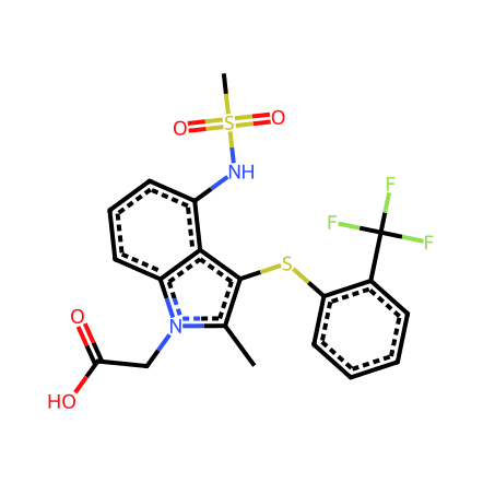 Cc1c(Sc2ccccc2C(F)(F)F)c2c(NS(C)(=O)=O)cccc2n1CC(=O)O